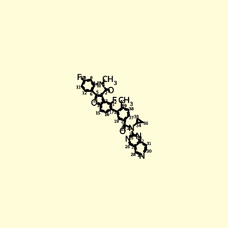 CNC(=O)c1c(-c2ccc(F)cc2)oc2ccc(-c3cc(C(=O)N(c4ncc5cnccc5n4)C4CC4)ccc3C)c(F)c12